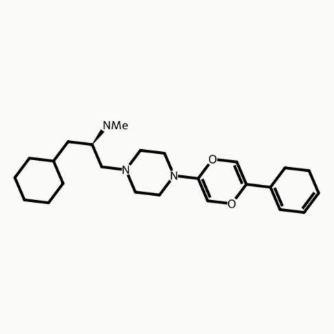 CN[C@H](CC1CCCCC1)CN1CCN(C2=COC(C3=CC=CCC3)=CO2)CC1